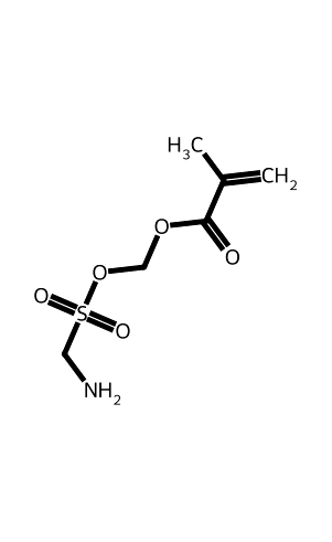 C=C(C)C(=O)OCOS(=O)(=O)CN